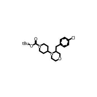 CC(C)(C)OC(=O)N1CCC(N2CCOCC2Cc2ccc(Cl)cc2)CC1